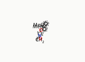 C=CC(=O)N1CCC(Oc2cccc(-c3ccccc3OC)c2OC)CC1